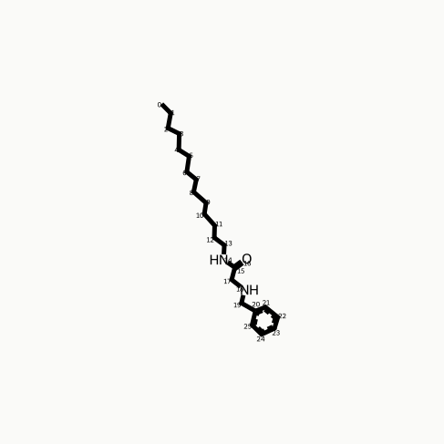 CCCCCCCCCCCCCCNC(=O)CNCc1ccccc1